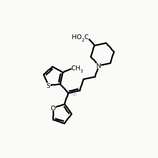 Cc1ccsc1/C(=C\CCN1CCCC(C(=O)O)C1)c1ccco1